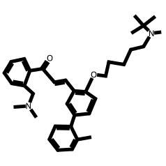 Cc1ccccc1-c1ccc(OCCCCCN(C)C(C)(C)C)c(C=CC(=O)c2ccccc2CN(C)C)c1